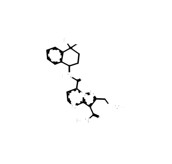 COCc1nn2c(C(=O)NC3CCC(F)(F)c4ccccc43)ccnc2c1C(N)=O